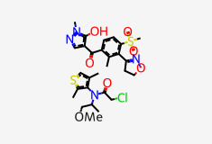 COCC(C)N(C(=O)CCl)c1c(C)csc1C.Cc1c(C(=O)c2cnn(C)c2O)ccc(S(C)(=O)=O)c1C1=NOCC1